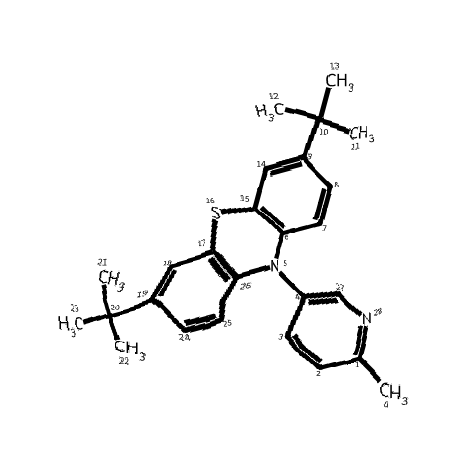 Cc1ccc(N2c3ccc(C(C)(C)C)cc3Sc3cc(C(C)(C)C)ccc32)cn1